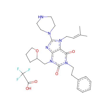 CC(C)=CCn1c(N2CCNCC2)nc2c1c(=O)n(CCc1ccccc1)c(=O)n2CC1CCCO1.O=C(O)C(F)(F)F